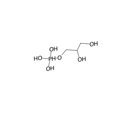 OCC(O)CO[PH](O)(O)O